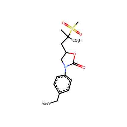 COCc1ccc(N2CC(CC(C)(C(=O)O)S(C)(=O)=O)OC2=O)cc1